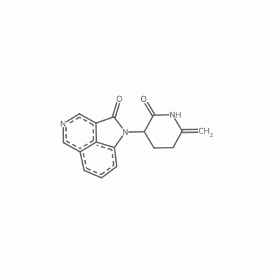 C=C1CCC(N2C(=O)c3cncc4cccc2c34)C(=O)N1